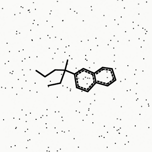 CCCC(C)(CC)c1ccc2ccccc2c1